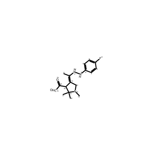 CC(NNc1ccc(F)cc1)=C1CN(C)C(C)(C)C1C(=O)C=O